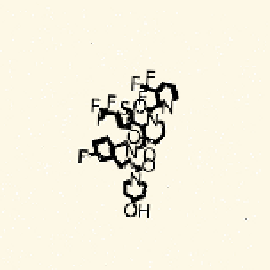 CCCC1N(C(=O)c2ncccc2C(F)(F)F)CCC[C@@]1(Oc1csc(C(F)(F)F)c1)C(=O)N1Cc2ccc(F)cc2C[C@@H]1C(=O)N1CCC(O)CC1